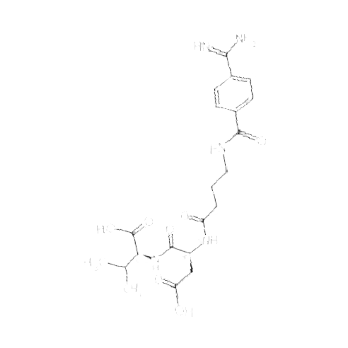 CC(C)[C@H](NC(=O)[C@H](CC(=O)O)NC(=O)CCCNC(=O)c1ccc(C(=N)N)cc1)C(=O)O